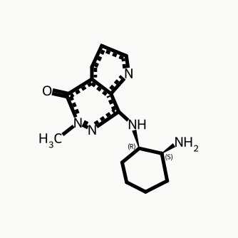 Cn1nc(N[C@@H]2CCCC[C@@H]2N)c2ncccc2c1=O